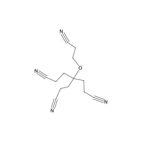 N#CCCOC(CCC#N)(CCC#N)CCC#N